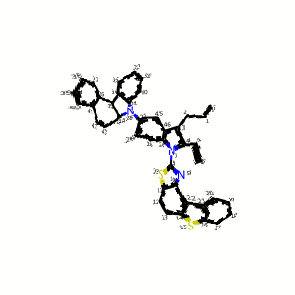 C=CCc1c(C=C)n(-c2nc3c(ccc4sc5ccccc5c43)s2)c2ccc(N3c4ccccc4C4c5ccccc5C=CC43)cc12